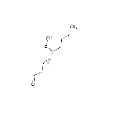 CCCCC(/C=C/CC=O)OC